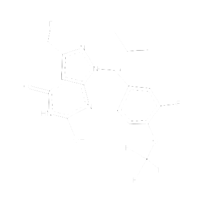 CC(C)[C@H](c1ccc(OC(F)(F)F)c(F)c1)n1nc(CF)c2c(=O)[nH]c(O)nc21